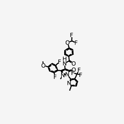 COc1cc(F)c(-c2c(NC(=O)c3ccc(OC(F)F)cc3)c(=O)n(-c3nc(C)ccc3C(F)(F)F)n2C)c(F)c1